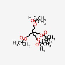 CC(C)C(=O)OCCCC(CCCOC(=O)C(C)C)(CCCOC(=O)C(C)(C)C)CCCOC(=O)C(C)(C)C